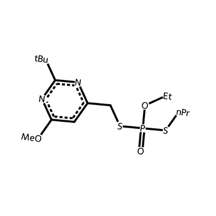 CCCSP(=O)(OCC)SCc1cc(OC)nc(C(C)(C)C)n1